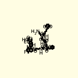 CC[C@@]1(O)C(=O)OCC2=C1C=C1c3nc4cc(F)c(C)c5c4c(c3CN1C2)[C@@H](NC(=O)CCCNC(=O)CNC(=O)[C@H](Cc1ccccc1)NC(=O)CNC(=O)CNC(=O)[C@H](CCCCN)NC(=O)CCCCCN1C(=O)C=CC1=O)CC5